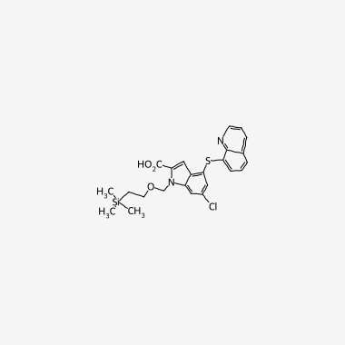 C[Si](C)(C)CCOCn1c(C(=O)O)cc2c(Sc3cccc4cccnc34)cc(Cl)cc21